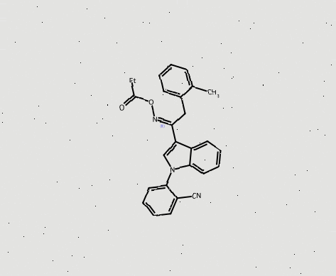 CCC(=O)O/N=C(\Cc1ccccc1C)c1cn(-c2ccccc2C#N)c2ccccc12